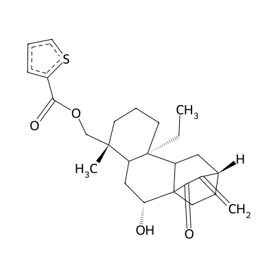 C=C1C(=O)C23CC[C@H]1CC2[C@]1(CC)CCC[C@@](C)(COC(=O)c2cccs2)C1C[C@H]3O